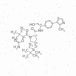 Cc1ncsc1-c1ccc([C@H](CO)NC(=O)[C@@H]2C[C@@H](O[Si](C)(C)C(C)(C)C)CN2C(=O)[C@@H](OC(N)=O)C(C)(C)C)cc1